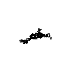 CC(C)(C)[Si](C)(C)OCc1ccc(Oc2c(Br)cc([N+](=O)[O-])cc2Br)cc1